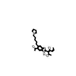 C/C=C\C(Cl)=C(/C(C)=O)c1nc2cc(CCCCCN3CCCC3)c(C(C)=O)cc2[nH]1